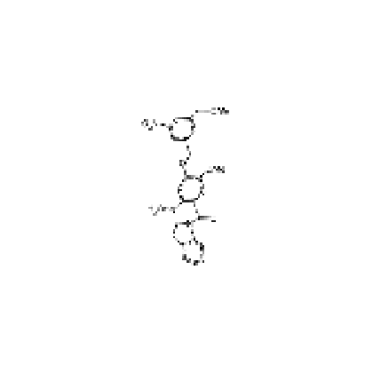 C=Nc1cc(OCc2cc(COC)cc([N+](=O)[O-])c2)c(OC)cc1C(=O)N1CCc2ccccc21